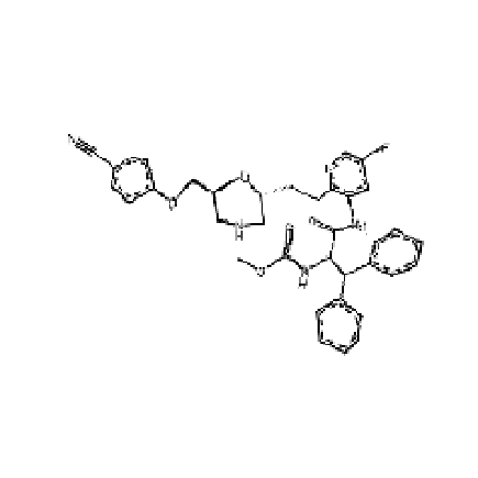 COC(=O)NC(C(=O)Nc1cc(F)cnc1CC[C@@H]1CNC[C@@H](COc2ccc(C#N)cc2)O1)C(c1ccccc1)c1ccccc1